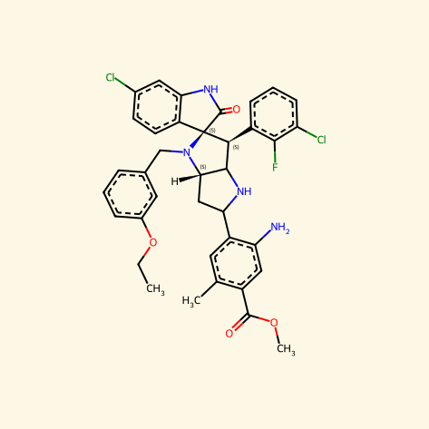 CCOc1cccc(CN2[C@H]3CC(c4cc(C)c(C(=O)OC)cc4N)NC3[C@H](c3cccc(Cl)c3F)[C@]23C(=O)Nc2cc(Cl)ccc23)c1